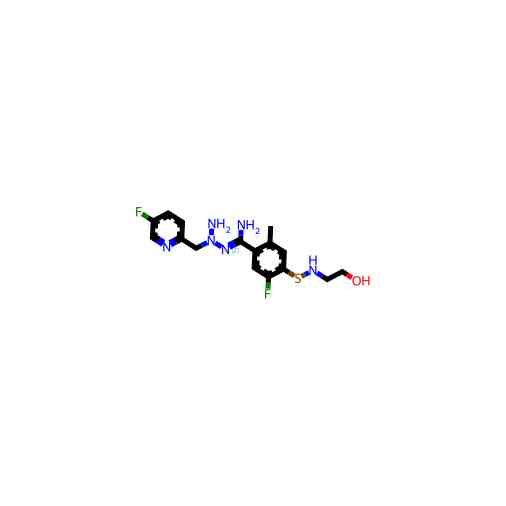 Cc1cc(SNCCO)c(F)cc1/C(N)=N/N(N)Cc1ccc(F)cn1